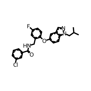 CC(C)Cn1ncc2cc(Oc3ccc(F)cc3CNC(=O)c3cccc(Cl)c3)ccc21